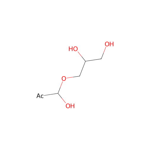 CC(=O)C(O)OCC(O)CO